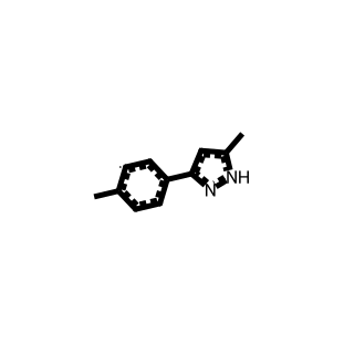 Cc1[c]cc(-c2cc(C)[nH]n2)cc1